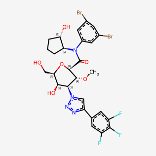 CO[C@@H]1[C@@H](n2cc(-c3cc(F)c(F)c(F)c3)nn2)[C@@H](O)[C@@H](CO)O[C@H]1C(=O)N(c1cc(Br)cc(Br)c1)[C@H]1CCC[C@@H]1O